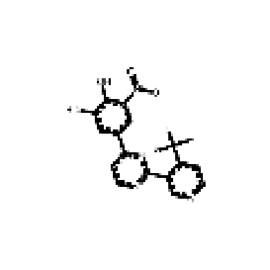 O=[N+]([O-])c1cc(-c2ccnc(-c3cnccc3C(F)(F)F)n2)cc(O)c1O